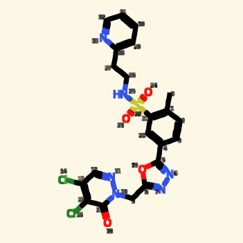 Cc1ccc(-c2nnc(Cn3ncc(Cl)c(Cl)c3=O)o2)cc1S(=O)(=O)NCCc1ccccn1